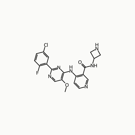 COc1cnc(-c2cc(Cl)ccc2F)nc1Nc1ccncc1C(=O)NC1CNC1